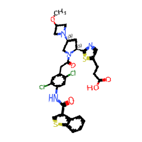 COC1CN([C@H]2C[C@@H](c3ncc(CCC(=O)O)s3)N(C(=O)Cc3cc(Cl)c(NC(=O)c4csc5ccccc45)cc3Cl)C2)C1